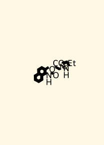 CCOC(=O)C(CN1C=CCN1)OC(=O)Nc1c(C)ccc2ccccc12